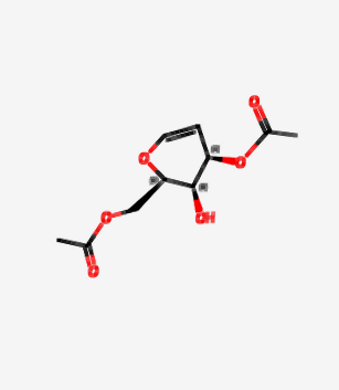 CC(=O)OC[C@H]1OC=C[C@@H](OC(C)=O)[C@H]1O